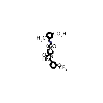 Cc1ccc(C(=O)O)cc1/C=C/S(=O)(=O)N1CCC2(CC1)N=C(c1cccc(OC(F)(F)F)c1)NC2=O